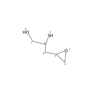 OCC(S)CC1CO1